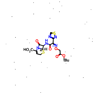 CC(C)(C)OC(=O)CO/N=C(\C(=O)NC1C(=O)N2C(C(=O)O)=CCS[C@H]12)c1ncsn1